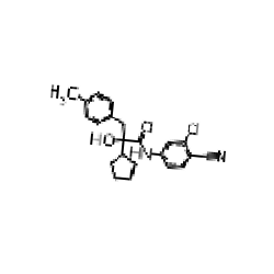 Cc1ccc(CC(O)(C(=O)Nc2ccc(C#N)c(Cl)c2)C2CCCC2)cc1